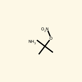 CC(C)(C)O[N+](=O)[O-].N